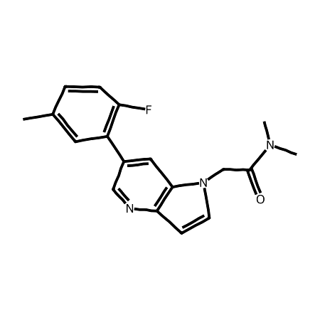 Cc1ccc(F)c(-c2cnc3ccn(CC(=O)N(C)C)c3c2)c1